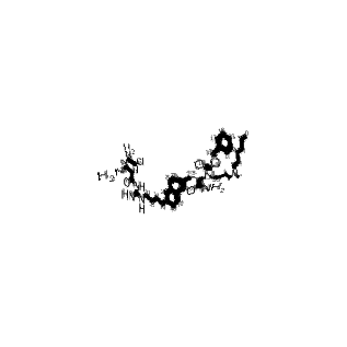 CCCCCCN(C)CCCN(C(=O)OCc1ccccc1)[C@@H](Cc1ccc2cc(CCCCNC(=N)NC(=O)c3nc(Cl)c(N)nc3N)ccc2c1)C(N)=O